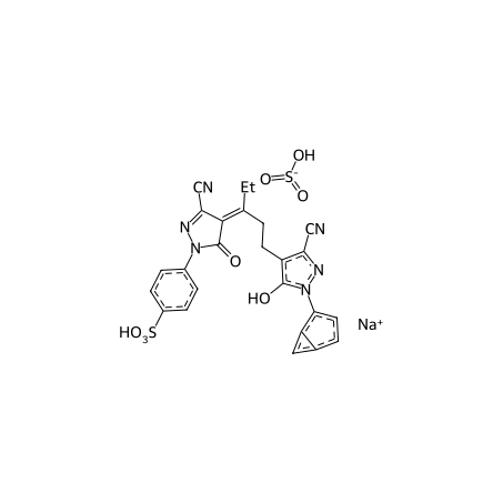 CCC(CCc1c(C#N)nn(-c2ccc3cc2-3)c1O)=C1C(=O)N(c2ccc(S(=O)(=O)O)cc2)N=C1C#N.O=[S-](=O)O.[Na+]